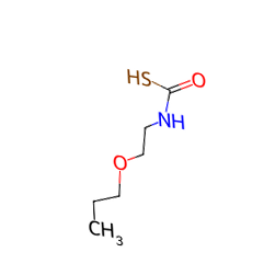 CCCOCCNC(=O)S